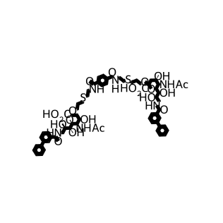 CC(=O)N[C@H]1[C@H]([C@H](O)[C@H](O)CNC(=O)c2cccc(-c3ccccc3)c2)O[C@@](OCCCSCCNC(=O)c2ccc(C(=O)NCCSCCCO[C@]3(C(=O)O)C[C@H](O)[C@@H](NC(C)=O)[C@H]([C@H](O)[C@@H](O)CNC(=O)c4cccc(-c5ccccc5)c4)O3)cc2)(C(=O)O)C[C@@H]1O